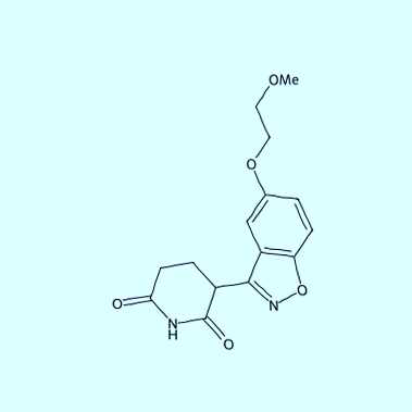 COCCOc1ccc2onc(C3CCC(=O)NC3=O)c2c1